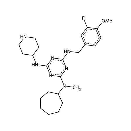 COc1ccc(CNc2nc(NC3CCNCC3)nc(N(C)C3CCCCCC3)n2)cc1F